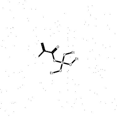 C=C(C)C(=O)[O][Ti]([O]CC)([O]CC)[O]CC